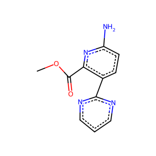 COC(=O)c1nc(N)ccc1-c1ncccn1